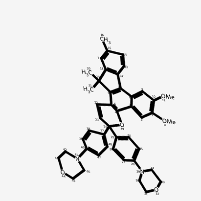 COc1cc2c3c(c4c(c2cc1OC)-c1ccc(C)cc1C4(C)C)C=CC(c1ccc(N2CCOCC2)cc1)(c1ccc(N2CCOCC2)cc1)O3